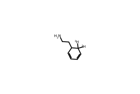 [2H]C1([2H])C=CC=CC1CCN